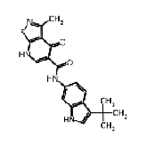 Cc1nsc2[nH]cc(C(=O)Nc3ccc4c(C(C)(C)C)c[nH]c4c3)c(=O)c12